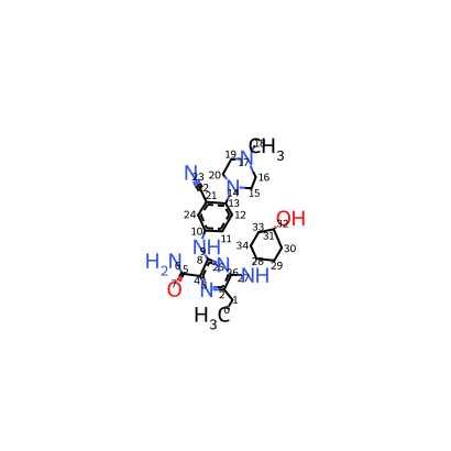 CCc1nc(C(N)=O)c(Nc2ccc(N3CCN(C)CC3)c(C#N)c2)nc1N[C@H]1CC[C@H](O)CC1